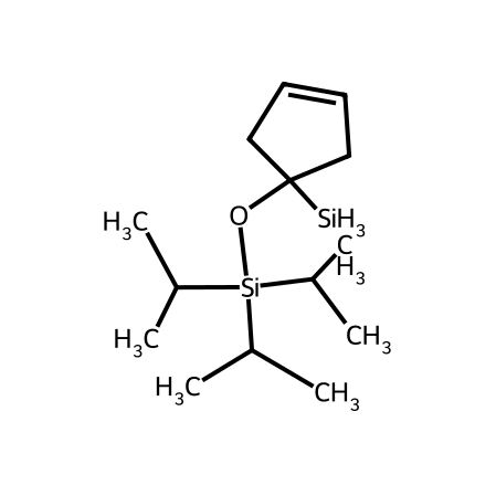 CC(C)[Si](OC1([SiH3])CC=CC1)(C(C)C)C(C)C